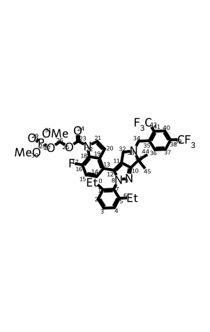 CCc1cccc(CC)c1-n1nc2c(c1-c1ccc(F)c3c1ccn3C(=O)OCOP(=O)(OC)OC)CN(Cc1ccc(C(F)(F)F)cc1C(F)(F)F)C2(C)C